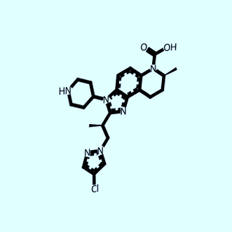 C[C@H](Cn1cc(Cl)cn1)c1nc2c3c(ccc2n1C1CCNCC1)N(C(=O)O)[C@@H](C)CC3